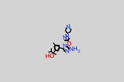 Cc1cc(-c2cnc(N)c(Oc3cnn(C4CCN(C)CC4)c3)n2)cc(C(C)(O)C(C)C)c1